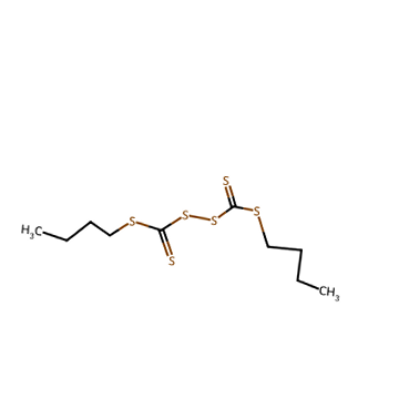 CCCCSC(=S)SSC(=S)SCCCC